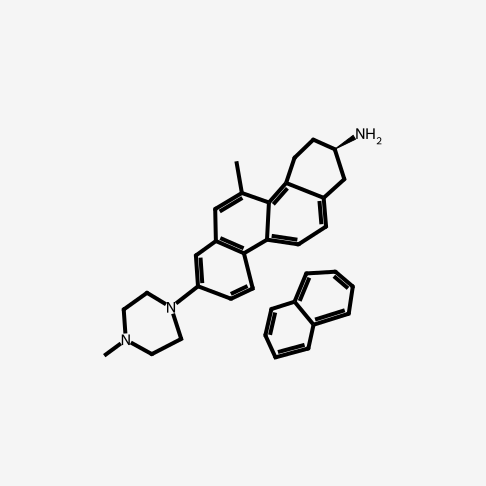 Cc1cc2cc(N3CCN(C)CC3)ccc2c2ccc3c(c12)CC[C@@H](N)C3.c1ccc2ccccc2c1